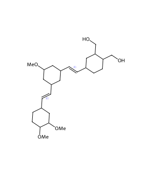 COC1CC(/C=C/C2CCC(CO)C(CO)C2)CC(/C=C/C2CCC(OC)C(OC)C2)C1